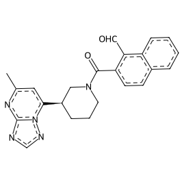 Cc1cc([C@@H]2CCCN(C(=O)c3ccc4ccccc4c3C=O)C2)n2ncnc2n1